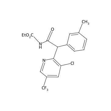 CCOC(=O)NC(=O)C(c1cccc(C)c1)c1ncc(C(F)(F)F)cc1Cl